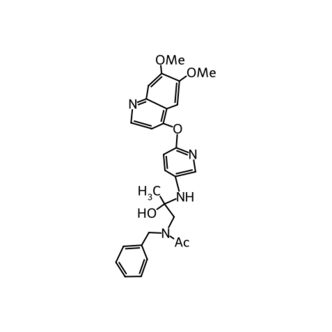 COc1cc2nccc(Oc3ccc(NC(C)(O)CN(Cc4ccccc4)C(C)=O)cn3)c2cc1OC